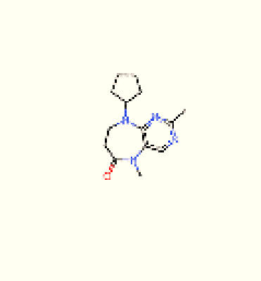 Cc1ncc2c(n1)N(C1CCCC1)CCC(=O)N2C